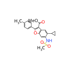 COC(=O)c1c(-c2ccc(C)cc2)oc2cc(NS(C)(=O)=O)c(C3CC3)cc12